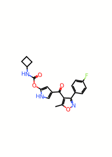 Cc1onc(-c2ccc(F)cc2)c1C(=O)c1c[nH]c(OC(=O)NC2CCC2)c1